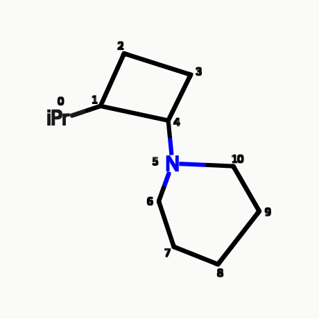 CC(C)C1CCC1N1CCCCC1